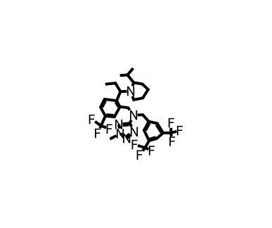 CCC(c1ccc(C(F)(F)F)cc1CN(Cc1cc(C(F)(F)F)cc(C(F)(F)F)c1)c1nnn(C)n1)N1CCCCC1C(C)C